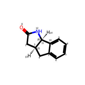 O=C1C[C@@H]2Cc3ccccc3[C@@H]2N1